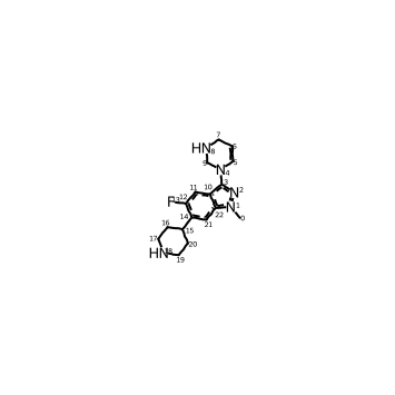 Cn1nc(N2C=CCNC2)c2cc(F)c(C3CCNCC3)cc21